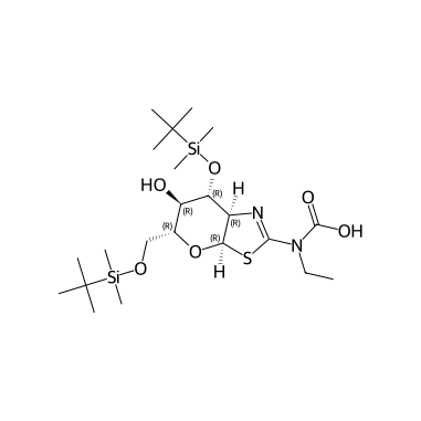 CCN(C(=O)O)C1=N[C@@H]2[C@@H](O[Si](C)(C)C(C)(C)C)[C@H](O)[C@@H](CO[Si](C)(C)C(C)(C)C)O[C@@H]2S1